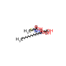 CCCCCCCCCCCCC/C=C/C(=O)OCC(O)CO.CSCCC(N)C(=O)O